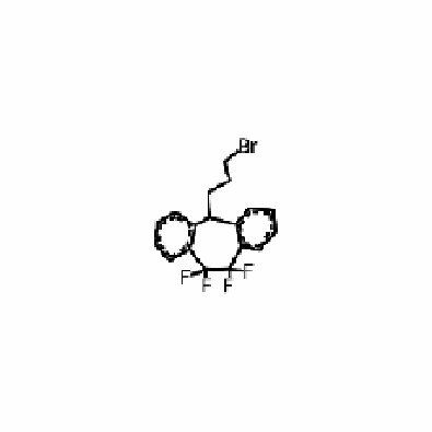 FC1(F)c2ccccc2C(CCCBr)c2ccccc2C1(F)F